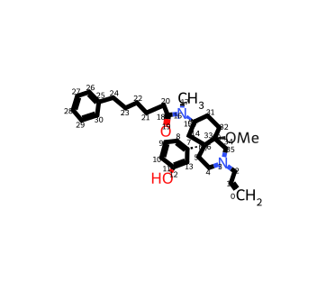 C=CCN1CC[C@@]2(c3cccc(O)c3)C[C@@H](N(C)C(=O)CCCCCc3ccccc3)CC[C@]2(OC)C1